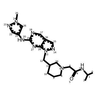 CC(C)NC(=O)CN1CCCC(Cn2ncc3cnc(Nc4cnn(C)c4)nc32)C1